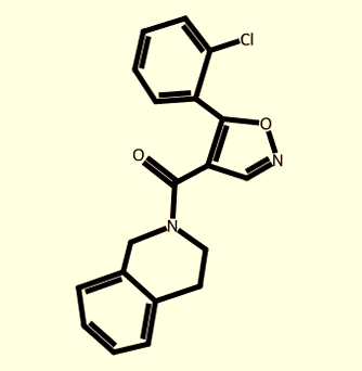 O=C(c1cnoc1-c1ccccc1Cl)N1CCc2ccccc2C1